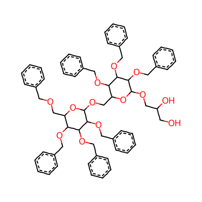 OCC(O)COC1OC(COC2OC(COCc3ccccc3)C(OCc3ccccc3)C(OCc3ccccc3)C2OCc2ccccc2)C(OCc2ccccc2)C(OCc2ccccc2)C1OCc1ccccc1